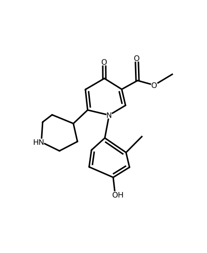 COC(=O)c1cn(-c2ccc(O)cc2C)c(C2CCNCC2)cc1=O